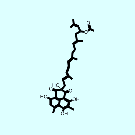 CC(=O)OC(C=C(C)C)C/C(C)=C/CC/C(C)=C/CC/C(C)=C/C[C@]1(O)C(=O)c2c(O)cc(C)c3c(O)c(C)c(O)c(c23)C1=O